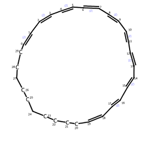 [C]1=C/C=C\C=C/C=C\C=C/C=C\C=C/C=C\C=C/C=CCCCCCCCCCC\1